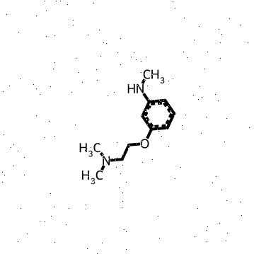 CNc1cccc(OCCN(C)C)c1